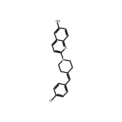 Oc1ccc2nc(N3CCC(=Cc4ccc(Cl)cc4)CC3)ccc2c1